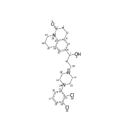 O=C1CCc2cc(C(O)CCN3CCN(c4cccc(Cl)c4Cl)CC3)cc3c2N1CCC3